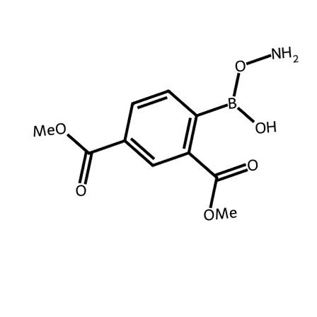 COC(=O)c1ccc(B(O)ON)c(C(=O)OC)c1